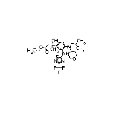 CCOC(=O)CC(C)(C)c1ccc(N(CC(C)C)C2CCOCC2)c(Nc2nc(C(F)(F)F)ns2)c1